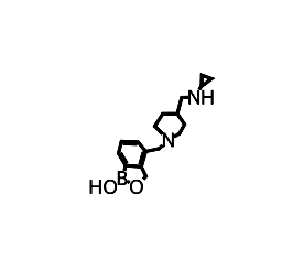 OB1OCc2c(CN3CCC(CNC4CC4)CC3)cccc21